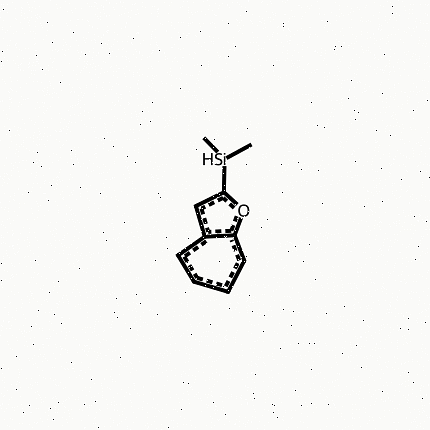 C[SiH](C)c1cc2ccccc2o1